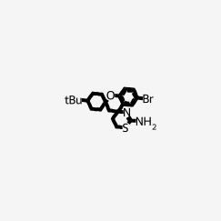 CC(C)(C)C1CCC2(CC1)CC1(CCSC(N)=N1)c1cc(Br)ccc1O2